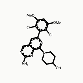 COc1cc(OC)c(Cl)c(-c2cc3cnc(N)nc3c(N3CCC(O)CC3)n2)c1Cl